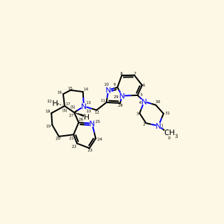 CN1CCN(c2cccc3nc(CN4CCC[C@@H]5CCCc6cccnc6[C@H]54)cn23)CC1